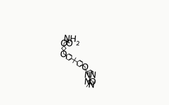 Cc1noc(-c2nccc(COc3ccc(C(C)(C)c4ccc(OC5CC(OC(N)=O)C5)cc4)cc3)n2)n1